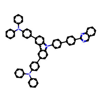 c1ccc(N(c2ccccc2)c2ccc(-c3ccc4c(c3)c3cc(-c5ccc(N(c6ccccc6)c6ccccc6)cc5)ccc3n4-c3ccc(-c4ccc(-c5ncc6ccccc6n5)cc4)cc3)cc2)cc1